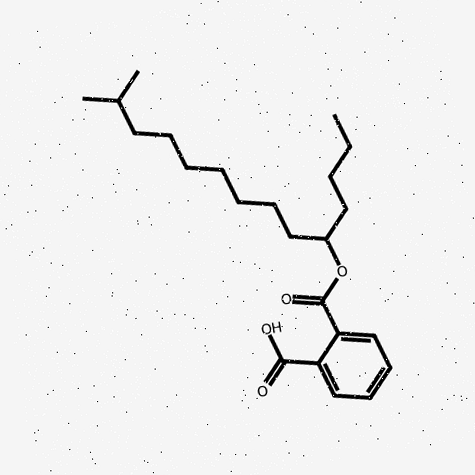 CCCCC(CCCCCCCC(C)C)OC(=O)c1ccccc1C(=O)O